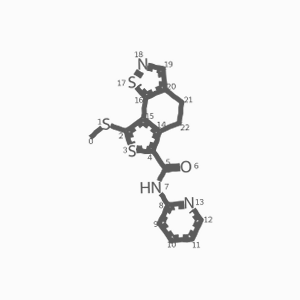 CSc1sc(C(=O)Nc2ccccn2)c2c1-c1sncc1CC2